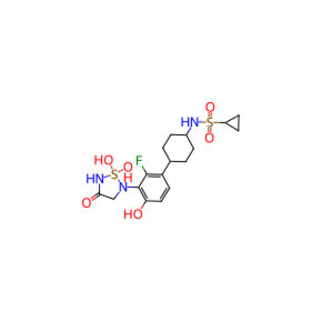 O=C1CN(c2c(O)ccc(C3CCC(NS(=O)(=O)C4CC4)CC3)c2F)S(O)(O)N1